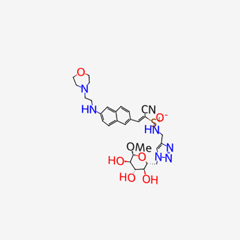 CO[C@H]1O[C@H](Cn2cc(CN[S+]([O-])/C(C#N)=C/c3ccc4cc(NCCN5CCOCC5)ccc4c3)nn2)[C@@H](O)[C@H](O)[C@H]1O